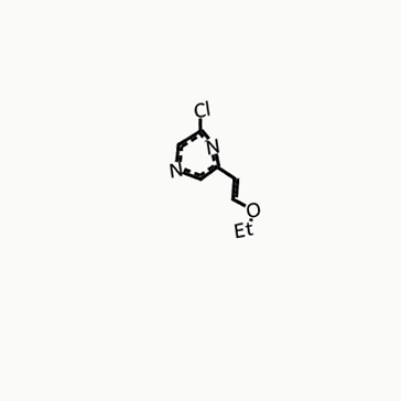 CCOC=Cc1cncc(Cl)n1